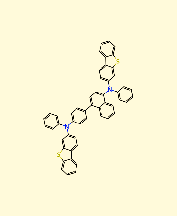 c1ccc(N(c2ccc(-c3ccc(N(c4ccccc4)c4ccc5c(c4)sc4ccccc45)c4ccccc34)cc2)c2ccc3c(c2)sc2ccccc23)cc1